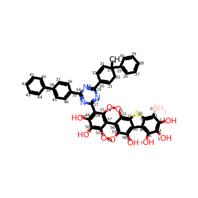 Bc1c(O)c(O)c(O)c2c1sc1c3ooc4c(-c5nc(C6=CCC(C)(c7ccccc7)C=C6)nc(-c6ccc(-c7ccccc7)cc6)n5)c(O)c(O)c5ooc(c3-c54)c(O)c12